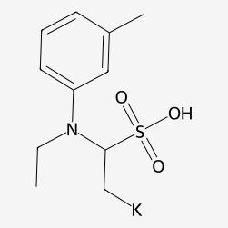 CCN(c1cccc(C)c1)C([CH2][K])S(=O)(=O)O